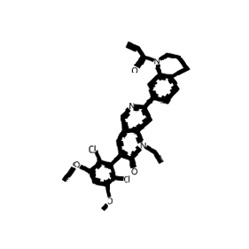 C=CC(=O)N1CCCc2ccc(-c3cc4c(cn3)cc(-c3c(Cl)c(OC)cc(OC)c3Cl)c(=O)n4CC)cc21